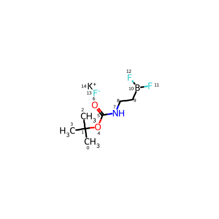 CC(C)(C)OC(=O)NCCB(F)F.[F-].[K+]